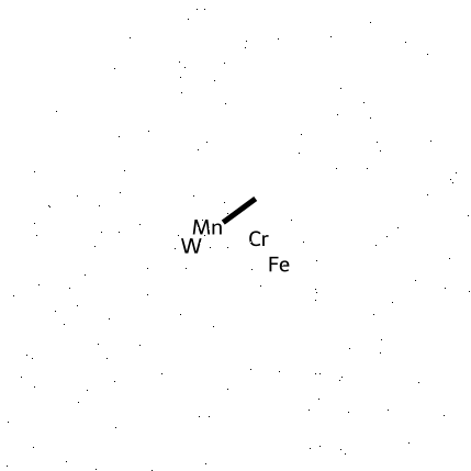 [CH3][Mn].[Cr].[Fe].[W]